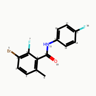 Cc1ccc(Br)c(F)c1C(=O)Nc1ccc(F)cc1